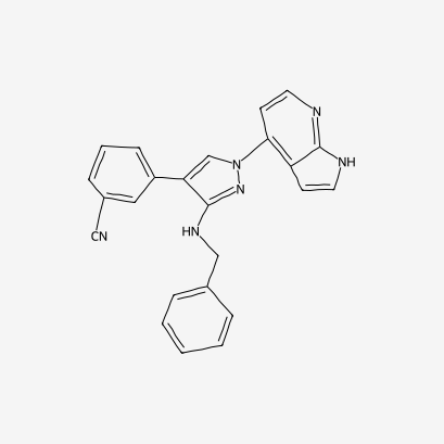 N#Cc1cccc(-c2cn(-c3ccnc4[nH]ccc34)nc2NCc2ccccc2)c1